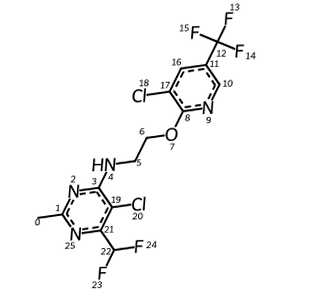 Cc1nc(NCCOc2ncc(C(F)(F)F)cc2Cl)c(Cl)c(C(F)F)n1